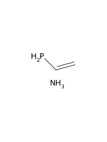 C=CP.N